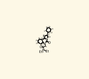 CCN(CC)C(=O)Cn1c(=O)n2cc(-c3ccccc3)nc2c2ccccc21